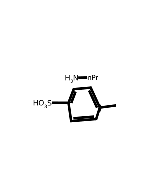 CCCN.Cc1ccc(S(=O)(=O)O)cc1